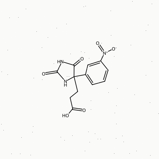 O=C(O)CCC1(c2cccc([N+](=O)[O-])c2)NC(=O)NC1=O